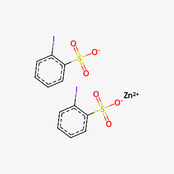 O=S(=O)([O-])c1ccccc1I.O=S(=O)([O-])c1ccccc1I.[Zn+2]